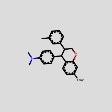 CC(=O)Oc1ccc2c(c1)OCC(c1cccc(C)c1)C2c1ccc(N(C)C)cc1